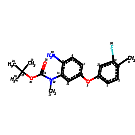 Cc1ccc(Oc2ccc(N)c(N(C)C(=O)OC(C)(C)C)c2)cc1F